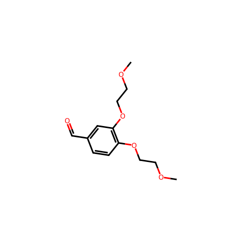 COCCOc1ccc(C=O)cc1OCCOC